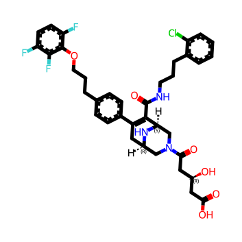 O=C(O)C[C@H](O)CC(=O)N1C[C@H]2CC(c3ccc(CCCOc4c(F)ccc(F)c4F)cc3)=C(C(=O)NCCCc3ccccc3Cl)[C@@H](C1)N2